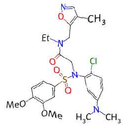 CCN(Cc1oncc1C)C(=O)CN(c1cc(N(C)C)ccc1Cl)S(=O)(=O)c1ccc(OC)c(OC)c1